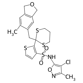 Cc1cc2c(cc1CC1(c3sccc3S(=O)(=O)Nc3onc(C)c3Cl)SCCCS1)COC2